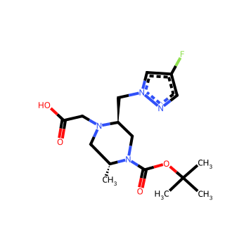 C[C@@H]1CN(CC(=O)O)[C@@H](Cn2cc(F)cn2)CN1C(=O)OC(C)(C)C